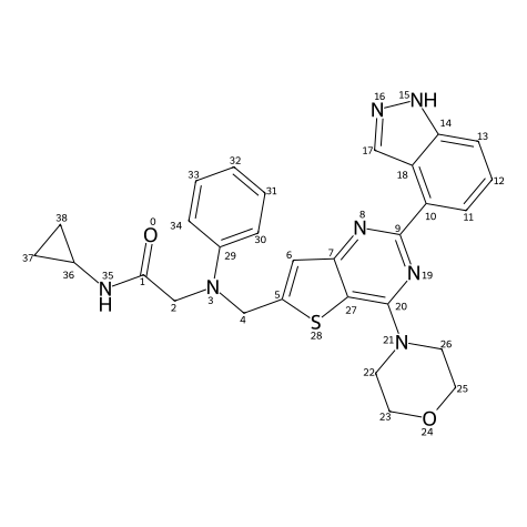 O=C(CN(Cc1cc2nc(-c3cccc4[nH]ncc34)nc(N3CCOCC3)c2s1)c1ccccc1)NC1CC1